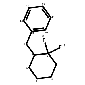 FC1(F)CCCCC1Cc1ccccc1